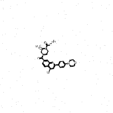 CCCOC(=O)N1CCN(C(=O)c2ccc3c(Cl)cc(-c4ccc(N5CCOCC5)cc4)nc3c2)C[C@H]1C